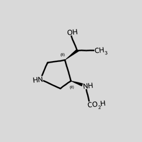 CC(O)[C@@H]1CNC[C@@H]1NC(=O)O